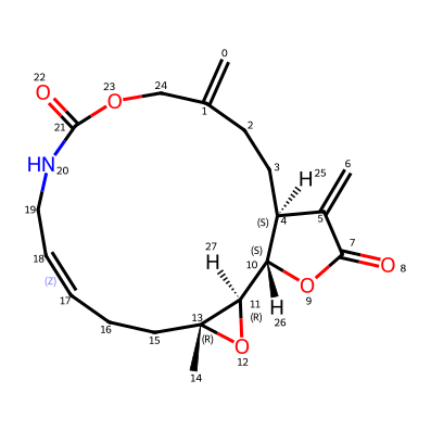 C=C1CC[C@H]2C(=C)C(=O)O[C@@H]2[C@H]2O[C@]2(C)CC/C=C\CNC(=O)OC1